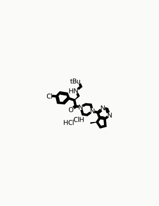 C[C@@H]1CCc2ncnc(N3CCN(C(=O)[C@H](CNCC(C)(C)C)c4ccc(Cl)cc4)CC3)c21.Cl.Cl